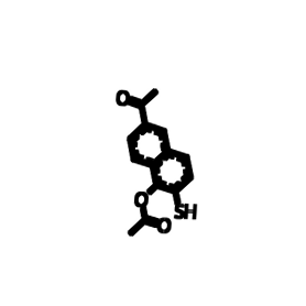 CC(=O)Oc1c(S)ccc2cc(C(C)=O)ccc12